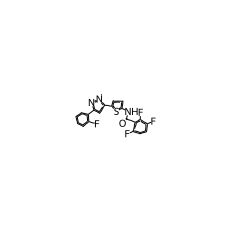 Cn1nc(-c2ccccc2F)cc1-c1ccc(NC(=O)c2c(F)ccc(F)c2F)s1